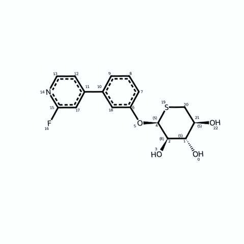 O[C@@H]1[C@@H](O)[C@@H](Oc2cccc(-c3ccnc(F)c3)c2)SC[C@H]1O